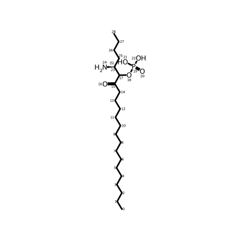 CCCCCCCCCCCCCCCC(=O)C(OP(=O)(O)O)[C@@H](N)CCCC